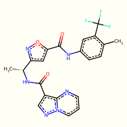 Cc1ccc(NC(=O)c2cc([C@@H](C)NC(=O)c3cnn4cccnc34)no2)cc1C(F)(F)F